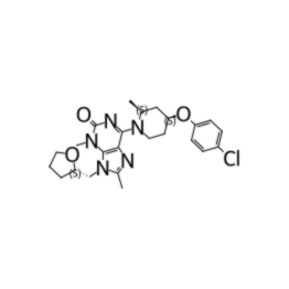 Cc1nc2c(N3CC[C@H](Oc4ccc(Cl)cc4)C[C@@H]3C)nc(=O)n(C)c2n1C[C@@H]1CCCO1